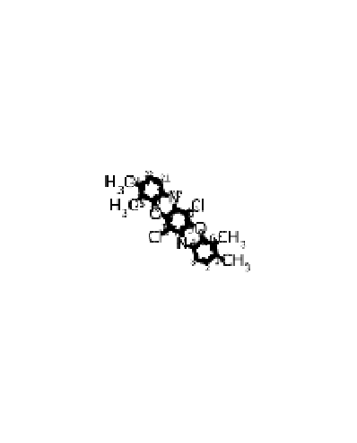 Cc1ccc2c(c1C)Oc1c(Cl)c3c(c(Cl)c1=N2)Oc1c(ccc(C)c1C)N=3